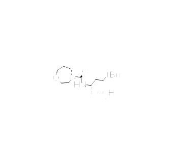 CC(C)(C)CC[C@H](NC(=O)N1CCCOCC1)C(=O)O